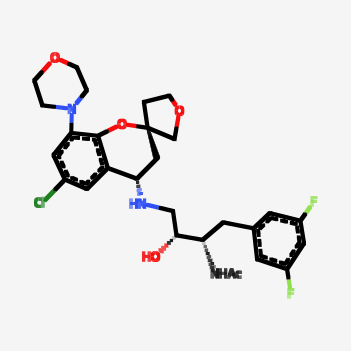 CC(=O)N[C@@H](Cc1cc(F)cc(F)c1)[C@H](O)CN[C@H]1C[C@]2(CCOC2)Oc2c1cc(Cl)cc2N1CCOCC1